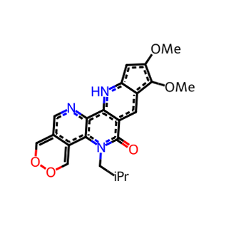 COc1cc2[nH]c3c(cc-2c1OC)c(=O)n(CC(C)C)c1c2c(cnc31)=COOC=2